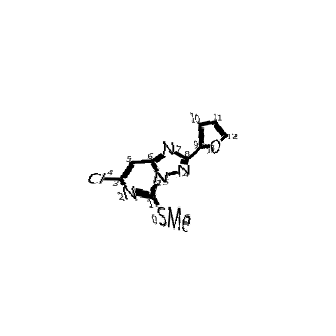 CSc1nc(Cl)cc2nc(-c3ccco3)nn12